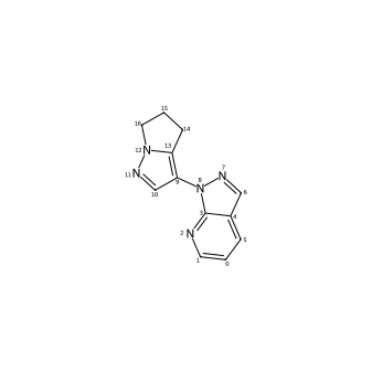 c1cnc2c(c1)cnn2-c1cnn2c1CCC2